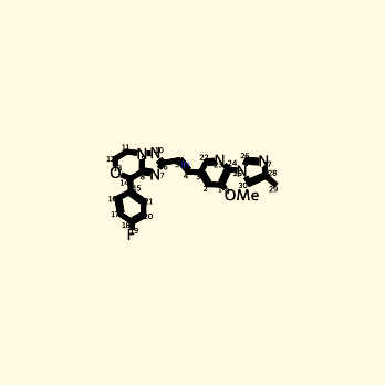 COc1cc(/C=C/c2nc3n(n2)CCOC3c2ccc(F)cc2)cnc1-n1cnc(C)c1